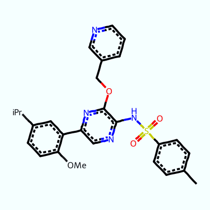 COc1ccc(C(C)C)cc1-c1cnc(NS(=O)(=O)c2ccc(C)cc2)c(OCc2cccnc2)n1